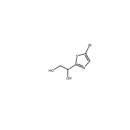 OCC(O)c1ncc(Br)s1